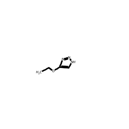 CCOc1c[nH]nn1